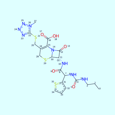 CCCNC(=O)NC(C(=O)N[C@H]1C(=O)N2C(C(=O)O)=C(CSc3nnnn3C)CSC12)c1cccs1